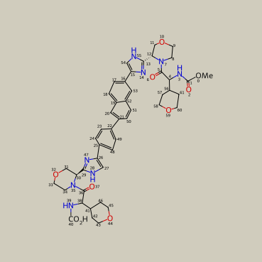 COC(=O)NC(C(=O)N1CCOC[C@H]1c1nc(-c2ccc3cc(-c4ccc(-c5c[nH]c([C@@H]6COCCN6C(=O)C(NC(=O)O)C6CCOCC6)n5)cc4)ccc3c2)c[nH]1)C1CCOCC1